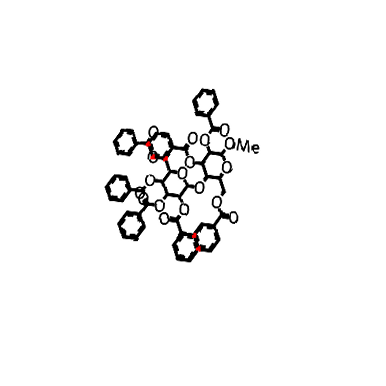 COC1OC(COC(=O)c2ccccc2)C(OC2OC(COC(=O)c3ccccc3)C(OC(=O)c3ccccc3)C(OC(=O)c3ccccc3)C2OC(=O)c2ccccc2)C(OC(=O)c2ccccc2)C1OC(=O)c1ccccc1